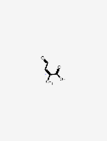 C/C(=C/C=O)C(=O)O